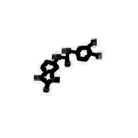 O=C(Nc1ccc(Cl)c(Cl)c1)Nc1ccc2[nH]c(=O)[nH]c2c1